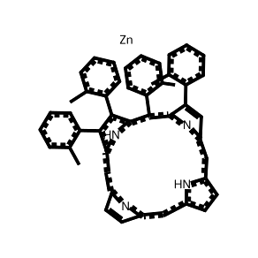 Cc1ccccc1C1=Cc2cc3ccc(cc4nc(cc5[nH]c(c(-c6ccccc6C)c1n2)c(-c1ccccc1C)c5-c1ccccc1C)C=C4)[nH]3.[Zn]